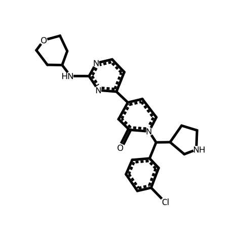 O=c1cc(-c2ccnc(NC3CCOCC3)n2)ccn1C(c1cccc(Cl)c1)C1CCNC1